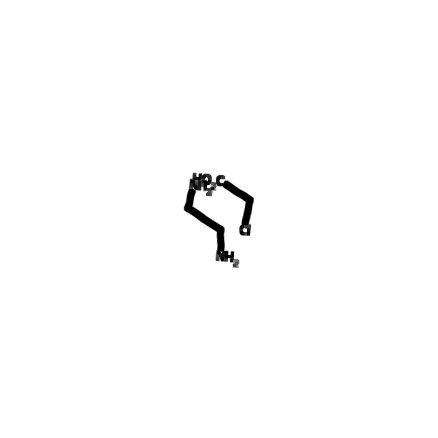 NCCN.O=C(O)CCl